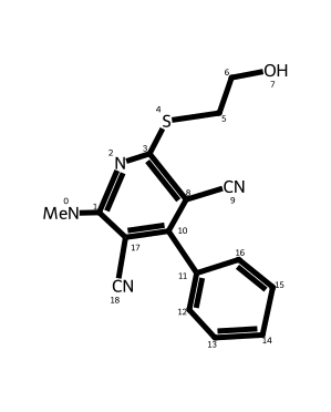 CNc1nc(SCCO)c(C#N)c(-c2ccccc2)c1C#N